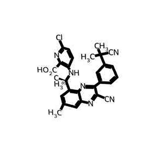 Cc1cc([C@@H](C)Nc2ccc(Cl)nc2C(=O)O)c2nc(-c3cccc(C(C)(C)C#N)c3)c(C#N)nc2c1